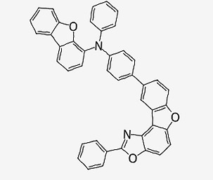 c1ccc(-c2nc3c(ccc4oc5ccc(-c6ccc(N(c7ccccc7)c7cccc8c7oc7ccccc78)cc6)cc5c43)o2)cc1